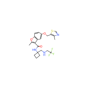 Cc1ncsc1COc1ccc2oc(C)c(C(=O)NC3(CNCC(F)(F)F)CCC3)c2c1